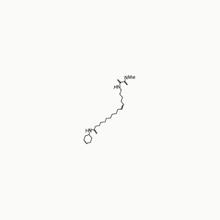 C=C(CCCCCCCCC/C=C\CCCCNC(=C)C(=C)NC)NC1CCCCC1